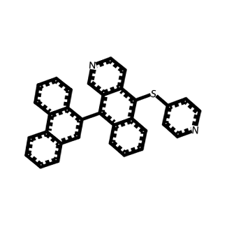 c1ccc2c(c1)cc(-c1c3ccccc3c(Sc3ccncc3)c3ccncc13)c1ccccc12